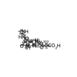 CC(C)C1=C2[C@H]3CC[C@@H]4[C@@]5(C)CC[C@H](OC(=O)[C@H]6C[C@@H](C(=O)O)C6(C)C)C(C)(C)[C@@H]5CC[C@@]4(C)[C@]3(C)CC[C@@]2(CC(=O)NC[C@@H]2CCCN2)CC1=O